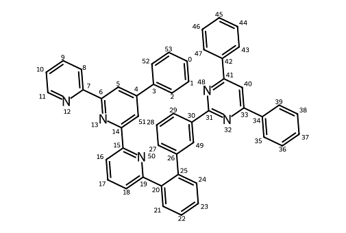 c1ccc(-c2cc(-c3ccccn3)nc(-c3cccc(-c4ccccc4-c4cccc(-c5nc(-c6ccccc6)cc(-c6ccccc6)n5)c4)n3)c2)cc1